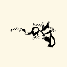 CCOC(=O)c1c(-c2ccc(OCC(=O)O)cc2OC)c2oc3ccccc3c2[nH]c1=O